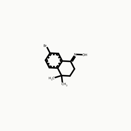 CC1(C)CCC(=NO)c2cc(Br)ccc21